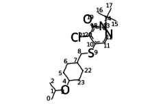 CC(C)OC1CCC(CSc2cnn(C(C)(C)C)c(=O)c2Cl)CC1